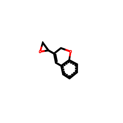 [CH]1OC1C1=Cc2ccccc2OC1